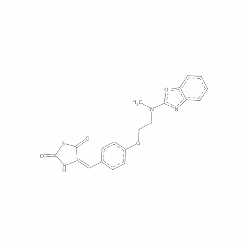 CN(CCOc1ccc(C=C2NC(=O)SC2=O)cc1)c1nc2ccccc2o1